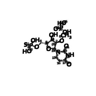 CO[C@@H]1[C@H](O)[C@@H](COP(O)(O)=S)O[C@H]1n1ccc(=O)[nH]c1=O.O=[PH](O)O